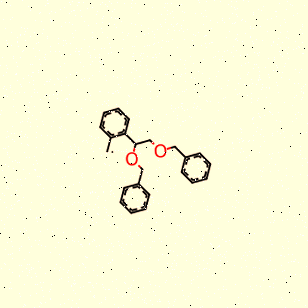 [CH2]c1ccccc1C(COCc1ccccc1)OCc1ccccc1